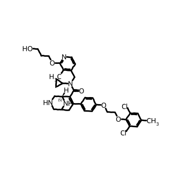 Cc1cc(Cl)c(OCCOc2ccc(C3=C(C(=O)N(Cc4ccnc(OCCCO)c4C)C4CC4)[C@H]4CNCC(C3)N4)cc2)c(Cl)c1